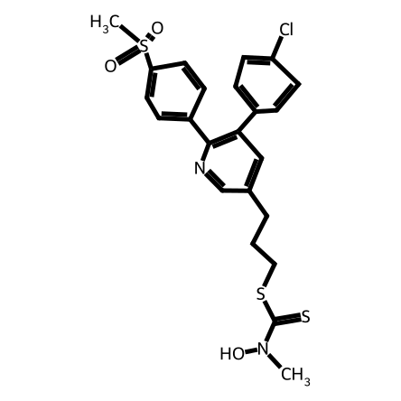 CN(O)C(=S)SCCCc1cnc(-c2ccc(S(C)(=O)=O)cc2)c(-c2ccc(Cl)cc2)c1